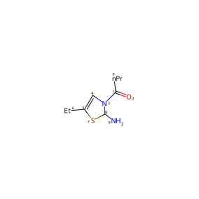 CCCC(=O)N1C=C(CC)SC1N